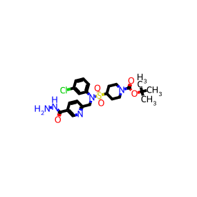 CC(C)(C)OC(=O)N1CCC(S(=O)(=O)N(Cc2ccc(C(=O)NN)cn2)c2cccc(Cl)c2)CC1